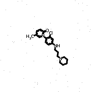 Cc1ccc(=O)n(-c2ccc(NCCCN3CCCCC3)cc2Cl)c1